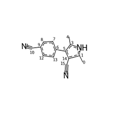 Cc1[nH]c(C)c(-c2ccc(C#N)cc2)c1C#N